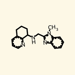 Cn1c(CNC2CCCc3cccnc32)nc2ccccc21